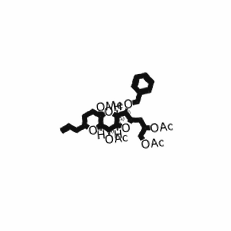 C=CCC1CCC2(OC)O[C@@H]3[C@@H](OC(CC(COC(C)=O)OC(C)=O)[C@@H]3OCc3ccccc3)[C@H](OC(C)=O)[C@H]2O1